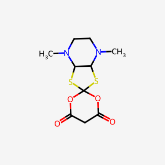 CN1CCN(C)C2SC3(OC(=O)CC(=O)O3)SC21